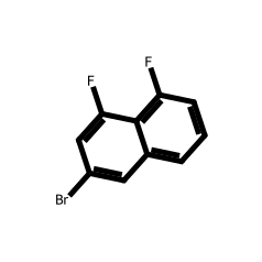 Fc1cccc2cc(Br)cc(F)c12